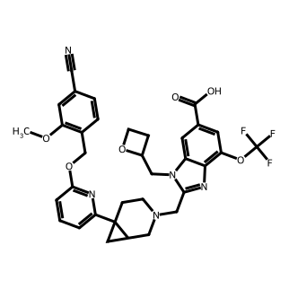 COc1cc(C#N)ccc1COc1cccc(C23CCN(Cc4nc5c(OC(F)(F)F)cc(C(=O)O)cc5n4CC4CCO4)CC2C3)n1